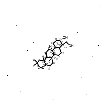 CC1(C)C[C@@H]2C3=CC[C@@H]4[C@@]5(C)CC[C@H](O)[C@@](C)(CO)C5CC[C@@]4(C)[C@]3(C)CC[C@@]2(C)OO1